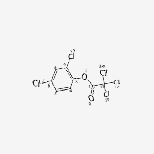 O=C(Oc1ccc(Cl)cc1Cl)C(Cl)(Cl)Cl